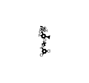 CCS(=O)(=O)NC(=O)c1cc(C2CC2)c(OCC2(C)CN([C@H](C)c3cc(Cl)cc(Cl)c3)C2)cc1F